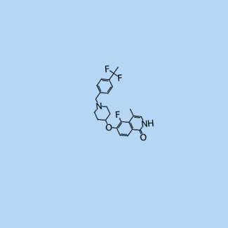 Cc1c[nH]c(=O)c2ccc(OC3CCN(Cc4ccc(C(C)(F)F)cc4)CC3)c(F)c12